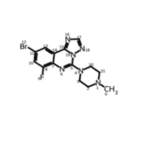 CN1CCN(c2nc3c(F)cc(Br)cc3c3ncnn23)CC1